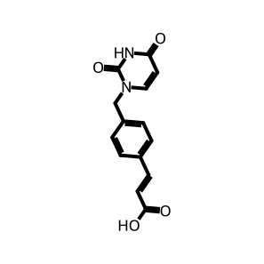 O=C(O)/C=C/c1ccc(Cn2ccc(=O)[nH]c2=O)cc1